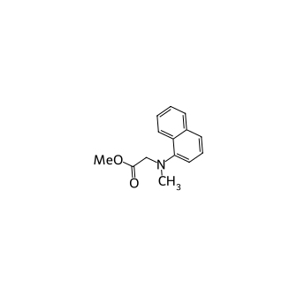 COC(=O)CN(C)c1cccc2ccccc12